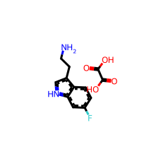 NCCc1c[nH]c2cc(F)ccc12.O=C(O)C(=O)O